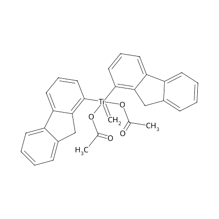 [CH2]=[Ti]([O]C(C)=O)([O]C(C)=O)([c]1cccc2c1Cc1ccccc1-2)[c]1cccc2c1Cc1ccccc1-2